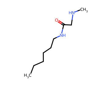 CCCCCCNC(=O)CNC